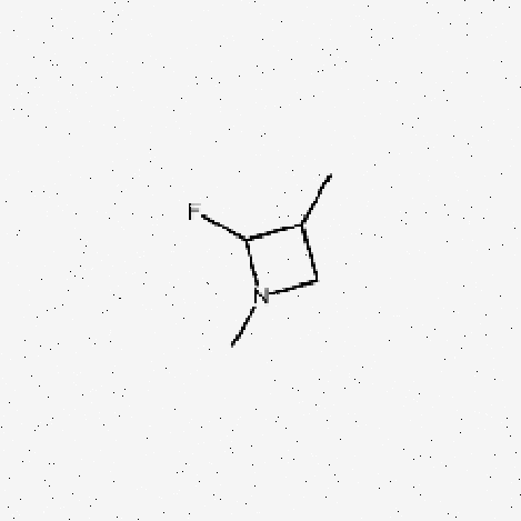 CC1CN(C)C1F